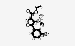 CCOC(=O)c1noc(-c2cccc(Br)c2)c1[N+](=O)[O-]